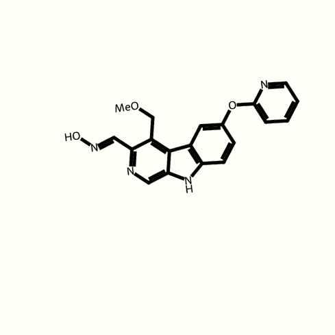 COCc1c(C=NO)ncc2[nH]c3ccc(Oc4ccccn4)cc3c12